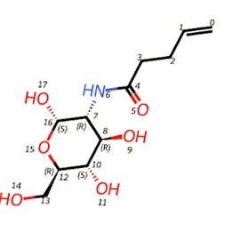 C=CCCC(=O)N[C@@H]1[C@@H](O)[C@H](O)[C@@H](CO)O[C@@H]1O